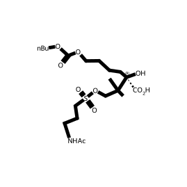 CCCCOC(=O)OCCCC[C@](O)(C(=O)O)C(C)(C)COS(=O)(=O)CCCNC(C)=O